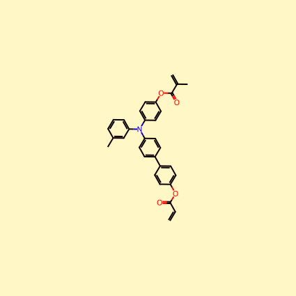 C=CC(=O)Oc1ccc(-c2ccc(N(c3ccc(OC(=O)C(=C)C)cc3)c3cccc(C)c3)cc2)cc1